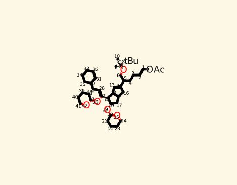 CC(=O)OCCCCC(CO[Si](C)(C)C(C)(C)C)C1=CC2C(C1)C[C@H](OC1CCCCO1)[C@H]2C(=CCC1CCCCC1)OC1CCCCO1